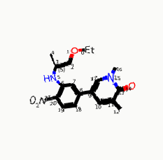 CCOC[C@H](C)Nc1cc(-c2cc(C)c(=O)n(C)c2)ccc1[N+](=O)[O-]